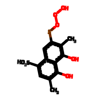 Cc1cc(S(=O)(=O)O)c2cc(SOOO)c(C)c(O)c2c1O